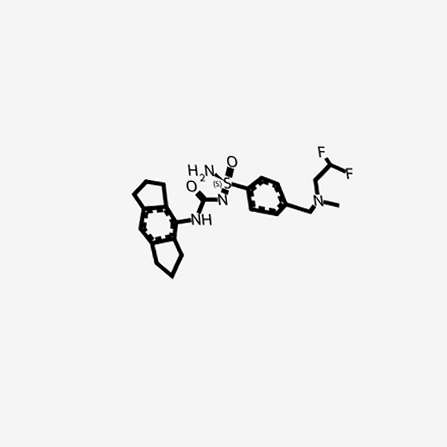 CN(Cc1ccc([S@@](N)(=O)=NC(=O)Nc2c3c(cc4c2CCC4)CCC3)cc1)CC(F)F